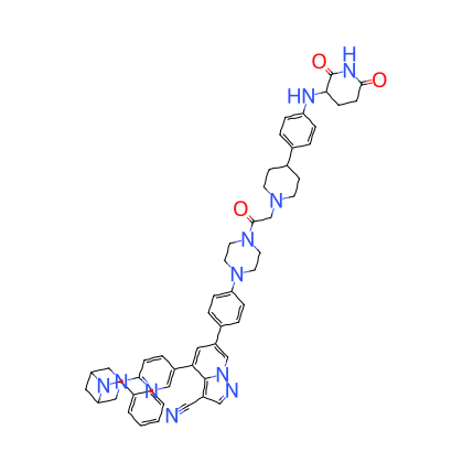 N#Cc1cnn2cc(-c3ccc(N4CCN(C(=O)CN5CCC(c6ccc(NC7CCC(=O)NC7=O)cc6)CC5)CC4)cc3)cc(-c3ccc(N4CC5CC(C4)N5Cc4ccccc4)nc3)c12